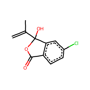 C=C(C)C1(O)OC(=O)c2ccc(Cl)cc21